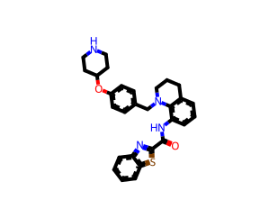 O=C(Nc1cccc2c1N(Cc1ccc(OC3CCNCC3)cc1)CCC2)c1nc2ccccc2s1